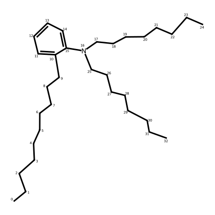 CCCCCCCCCCc1ccccc1N(CCCCCCCC)CCCCCCCC